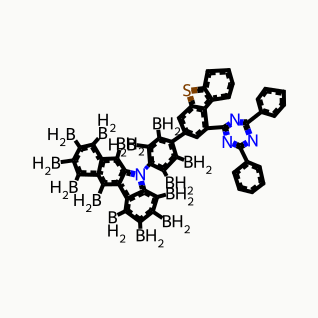 Bc1c(B)c(-n2c3c(B)c(B)c(B)c(B)c3c3c(B)c4c(B)c(B)c(B)c(B)c4c(B)c32)c(B)c(B)c1-c1cc(-c2nc(-c3ccccc3)nc(-c3ccccc3)n2)c2c(c1)sc1ccccc12